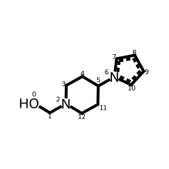 OCN1CCC(n2cccc2)CC1